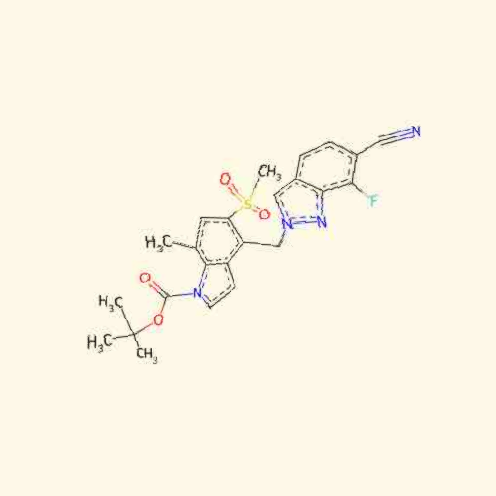 Cc1cc(S(C)(=O)=O)c(Cn2cc3ccc(C#N)c(F)c3n2)c2ccn(C(=O)OC(C)(C)C)c12